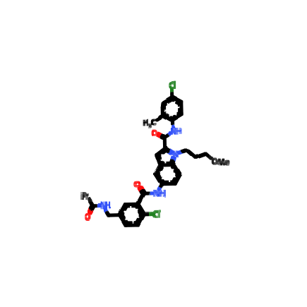 COCCCn1c(C(=O)Nc2ccc(Cl)cc2C)cc2cc(NC(=O)c3cc(CNC(=O)C(C)C)ccc3Cl)ccc21